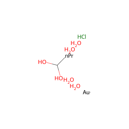 CCCC(O)O.Cl.O.O.O.O.[Au]